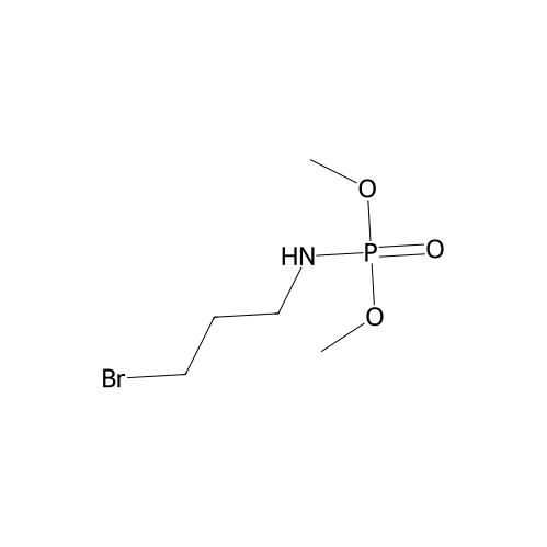 COP(=O)(NCCCBr)OC